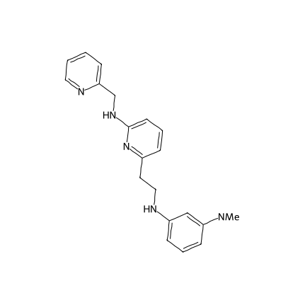 CNc1cccc(NCCc2cccc(NCc3ccccn3)n2)c1